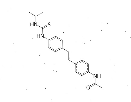 CC(=O)Nc1ccc(/C=C/c2ccc(NC(=S)NC(C)C)cc2)cc1